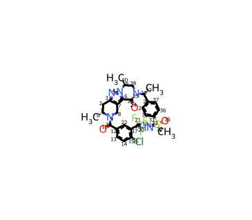 C[C@@H]1Cc2nn3c(c2CN1C(=O)c1ccc(Cl)c(C(F)(F)F)c1)C(=O)N([C@H](C)c1ccc([S@@](C)(=N)=O)cc1)C[C@H]3C